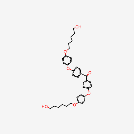 O=C(c1ccc(Oc2ccc(OCCCCCCO)cc2)cc1)c1ccc(Oc2ccc(OCCCCCCO)cc2)cc1